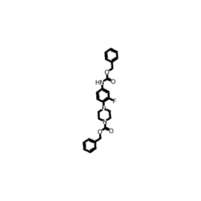 O=C(Nc1ccc(N2CCN(C(=O)OCc3ccccc3)CC2)c(F)c1)OCc1ccccc1